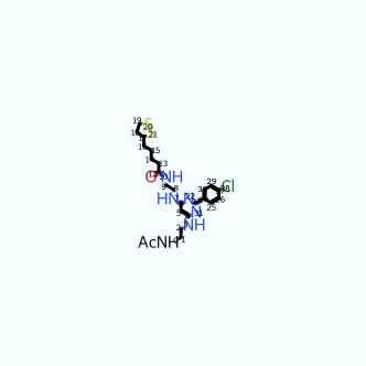 CC(=O)NCCNc1cc(NCCNC(=O)CCCCC2CCSS2)nc(-c2ccc(Cl)cc2)n1